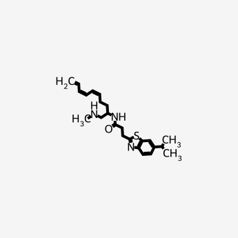 C=C/C=C\C=C/CCC(CNC)NC(=O)CCc1nc2ccc(C(C)C)cc2s1